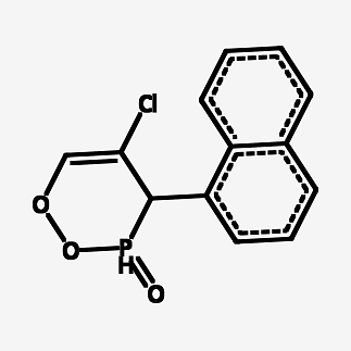 O=[PH]1OOC=C(Cl)C1c1cccc2ccccc12